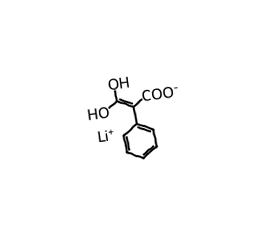 O=C([O-])C(=C(O)O)c1ccccc1.[Li+]